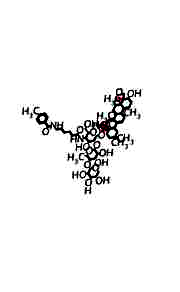 Cc1ccc(C(=O)NCCCCCC(=O)NC2C(O)C(O[C@@H]3O[C@H](C)C(O[C@@H]4OC[C@@H](O)C(O)C4O)C(O)C3O)[C@H](OC(=O)C34CCC(C)(C)CC3C3=CCC5C6(C)CCC(O)C(C)(C=O)[C@@H]6CC[C@@]5(C)[C@]3(C)C[C@@H]4O)O[C@@H]2CO)cc1